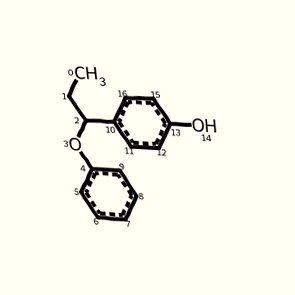 CCC(Oc1ccccc1)c1ccc(O)cc1